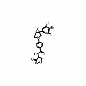 O=C1NOCC1NC(=S)c1ccc(N2CCC(c3cc(Cl)c(Br)c(Cl)c3)(C(F)(F)F)C2)cc1